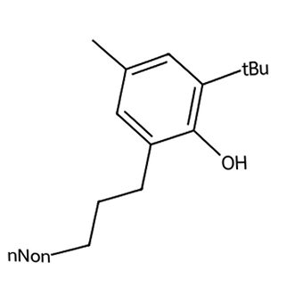 CCCCCCCCCCCCc1cc(C)cc(C(C)(C)C)c1O